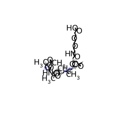 CC(=O)O[C@@H](C)/C=C\C(=O)N[C@@H]1C[C@H](C)[C@H](C/C=C(C)/C=C/[C@@H]2C[C@]3(CO3)C[C@@H](CC(=O)NCCOCCOCCC(=O)O)O2)O[C@@H]1C